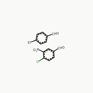 CCc1ccc(C=O)cc1.O=Cc1ccc(Cl)c([N+](=O)[O-])c1